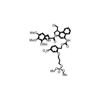 COc1cc2cc(C(=O)N3CC(CCl)c4c3cc(NC(=O)OCc3ccc([N+](=O)[O-])cc3OCCCOP(=O)(OC(C)(C)C)OC(C)(C)C)c3ccccc43)[nH]c2c(OC)c1OC